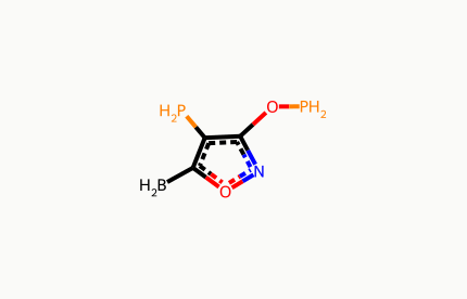 Bc1onc(OP)c1P